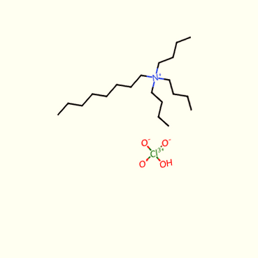 CCCCCCCC[N+](CCCC)(CCCC)CCCC.[O-][Cl+3]([O-])([O-])O